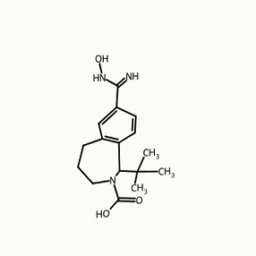 CC(C)(C)C1c2ccc(C(=N)NO)cc2CCCN1C(=O)O